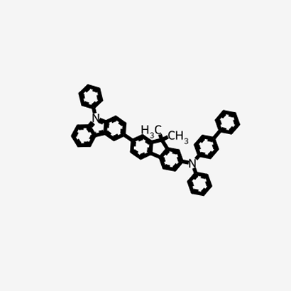 CC1(C)c2cc(-c3ccc4c(c3)c3ccccc3n4-c3ccccc3)ccc2-c2ccc(N(c3ccccc3)c3ccc(-c4ccccc4)cc3)cc21